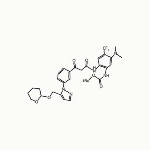 CN(C)c1cc(NC(=O)OC(C)(C)C)c(NC(=O)CC(=O)c2cccc(-n3nccc3COC3CCCCO3)c2)cc1C(F)(F)F